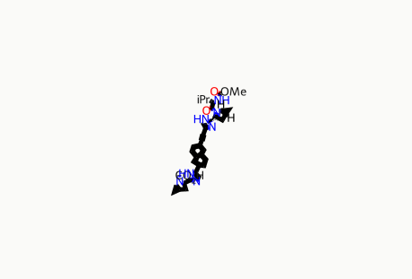 COC(=O)NC(C(=O)N1[C@@H]2C[C@@H]2C[C@H]1c1nc(C#Cc2ccc3cc(-c4cnc(C5CC6CC6N5C(=O)O)[nH]4)ccc3c2)c[nH]1)C(C)C